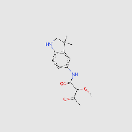 COC(C(C)=O)C(=O)Nc1ccc2c(c1)C(C)(C)CN2